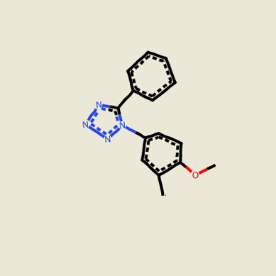 [CH2]c1cc(-n2nnnc2-c2ccccc2)ccc1OC